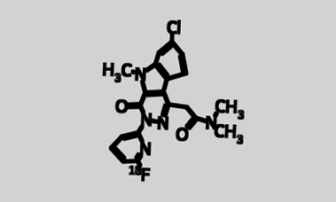 CN(C)C(=O)Cc1nn(-c2cccc([18F])n2)c(=O)c2c1c1ccc(Cl)cc1n2C